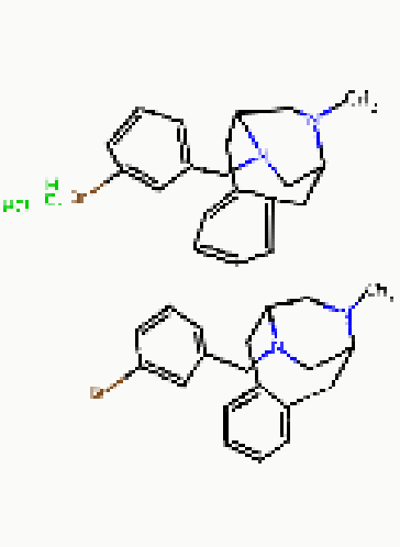 CN1CC2Cc3ccccc3CC1CN2Cc1cccc(Br)c1.CN1CC2Cc3ccccc3CC1CN2Cc1cccc(Br)c1.Cl.Cl